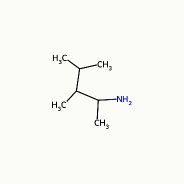 CC(C)C(C)C(C)N